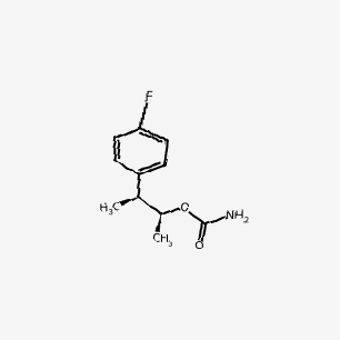 C[C@H](OC(N)=O)[C@@H](C)c1ccc(F)cc1